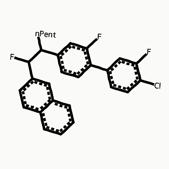 CCCCCC(c1ccc(-c2ccc(Cl)c(F)c2)c(F)c1)C(F)c1ccc2ccccc2c1